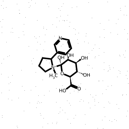 C[N+]1([C@]2(O)O[C@H](C(=O)O)[C@@H](O)[C@H](O)[C@H]2O)CCCC1c1cccnc1